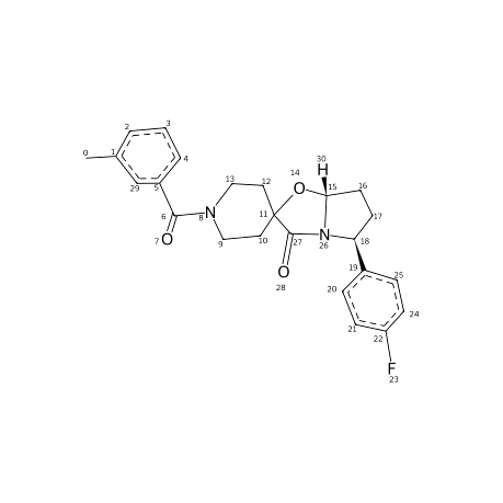 Cc1cccc(C(=O)N2CCC3(CC2)O[C@@H]2CC[C@@H](c4ccc(F)cc4)N2C3=O)c1